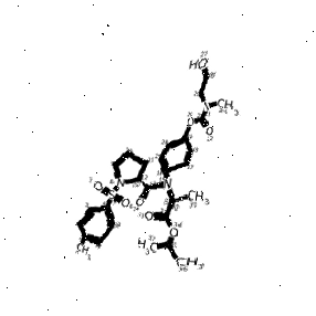 Cc1ccc(S(=O)(=O)N2CCC[C@H]2C(=O)N(c2ccc(OC(=O)N(C)CCO)cc2)[C@@H](C)C(=O)OC(C)C)cc1